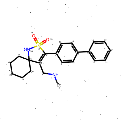 CCNCC1=C(c2ccc(-c3ccccc3)cc2)S(=O)(=O)NC12CCCCC2